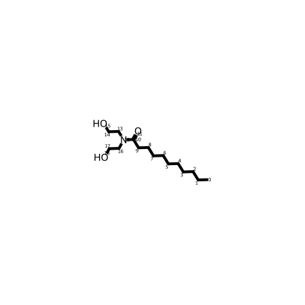 CCCCCCCCCCC(=O)N(CCO)CCO